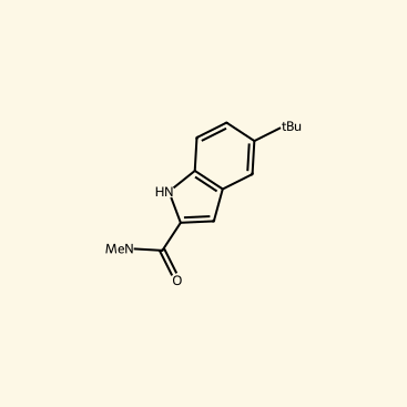 CNC(=O)c1cc2cc(C(C)(C)C)ccc2[nH]1